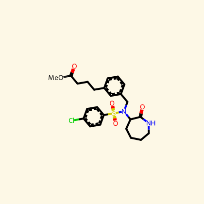 COC(=O)CCCc1cccc(CN(C2CCCCNC2=O)S(=O)(=O)c2ccc(Cl)cc2)c1